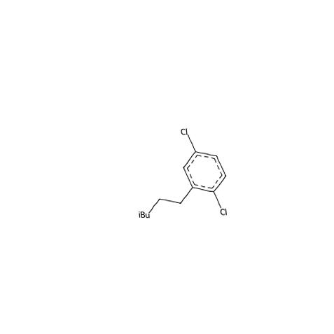 CCC(C)CCc1cc(Cl)ccc1Cl